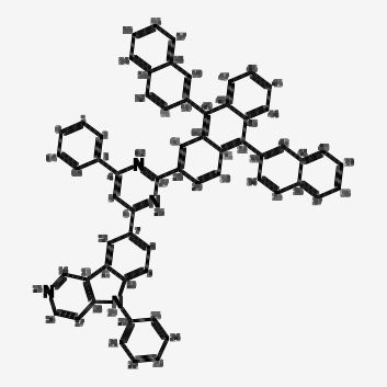 c1ccc(-c2cc(-c3ccc4c(c3)c3cnccc3n4-c3ccccc3)nc(-c3ccc4c(-c5ccc6ccccc6c5)c5ccccc5c(-c5ccc6ccccc6c5)c4c3)n2)cc1